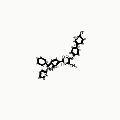 C[C@@H](NC(=O)c1ccc2c(C3CCCCC3)n(-c3ccccn3)nc2c1)C(=O)Nc1ccc(-c2ccc(=O)[nH]c2)cc1